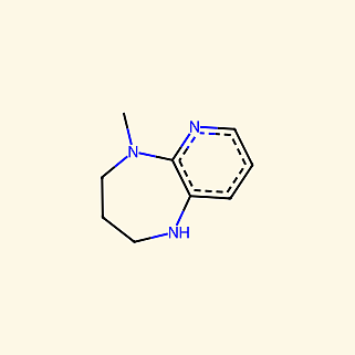 CN1CCCNc2cccnc21